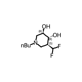 CCCCN1C[C@@H](O)[C@H](O)[C@@H](C(F)F)C1